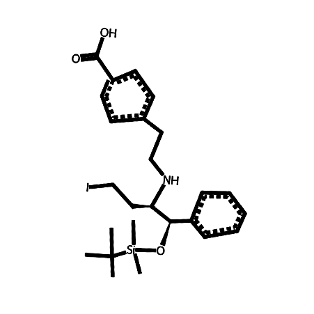 CC(C)(C)[Si](C)(C)O[C@H](c1ccccc1)[C@@H](CCI)NCCc1ccc(C(=O)O)cc1